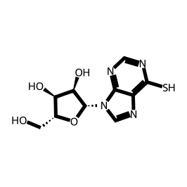 OC[C@H]1O[C@@H](n2cnc3c(S)ncnc32)[C@H](O)[C@@H]1O